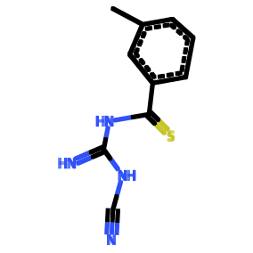 Cc1cccc(C(=S)NC(=N)NC#N)c1